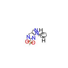 CS(=O)(=O)c1ncc2cnn([C@H]3C[C@@H]4CC[C@H]3C4)c2n1